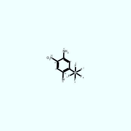 Nc1cc(S(F)(F)(F)(F)F)c(Br)cc1[N+](=O)[O-]